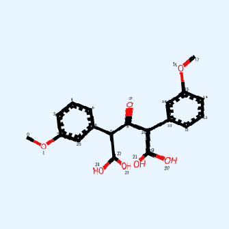 COc1cccc(C(C(=O)C(c2cccc(OC)c2)C(O)O)C(O)O)c1